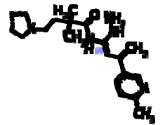 C=C(/C=C(\NN)NC(=O)C(C)(C)CCN1CCCC1)c1ccc(C)nc1